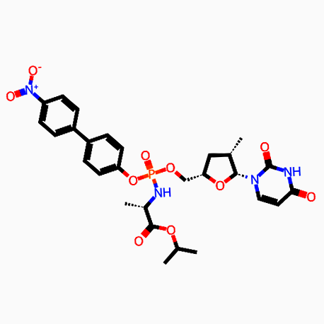 CC(C)OC(=O)[C@H](C)NP(=O)(OC[C@@H]1C[C@H](C)[C@H](n2ccc(=O)[nH]c2=O)O1)Oc1ccc(-c2ccc([N+](=O)[O-])cc2)cc1